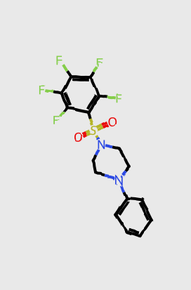 O=S(=O)(c1c(F)c(F)c(F)c(F)c1F)N1CCN(c2ccccc2)CC1